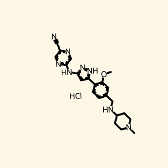 COc1cc(CNC2CCN(C)CC2)ccc1-c1cc(Nc2cnc(C#N)cn2)n[nH]1.Cl